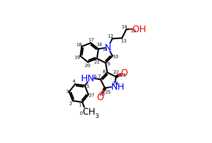 Cc1cccc(NC2=C(c3cn(CCCO)c4ccccc34)C(=O)NC2=O)c1